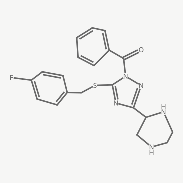 O=C(c1ccccc1)n1nc(C2CNCCN2)nc1SCc1ccc(F)cc1